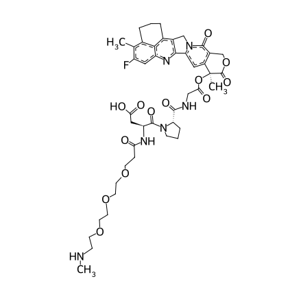 CNCCOCCOCCOCCC(=O)N[C@@H](CC(=O)O)C(=O)N1CCC[C@H]1C(=O)NCC(=O)O[C@]1(C)C(=O)OCc2c1cc1n(c2=O)Cc2c-1nc1cc(F)c(C)c3c1c2CCC3